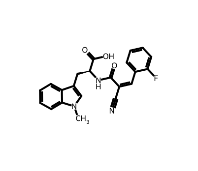 Cn1cc(C[C@H](NC(=O)/C(C#N)=C\c2ccccc2F)C(=O)O)c2ccccc21